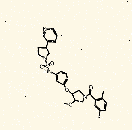 COC1CN(C(=O)c2cc(C)ccc2C)CC1Oc1cccc(NS(=O)(=O)N2CCC(c3cccnc3)C2)c1